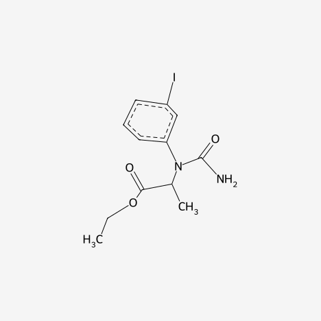 CCOC(=O)C(C)N(C(N)=O)c1cccc(I)c1